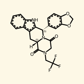 O=C1[C@@H]2Cc3c([nH]c4ccccc34)[C@H](c3ccc4c(c3)OCO4)N2C(=O)CN1CC(F)(F)F